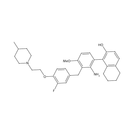 COc1ccc(-c2c(O)ccc3c2CCCC3)c(N)c1Cc1ccc(OCCN2CCC(C)CC2)c(F)c1